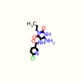 CCCn1c(=O)[nH]c(N)c(NC(=O)c2ccc(Cl)nc2)c1=O